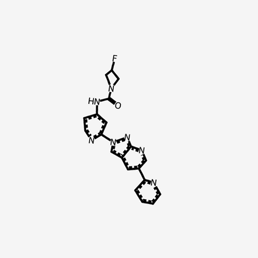 O=C(Nc1ccnc(-n2cc3cc(-c4ccccn4)cnc3n2)c1)N1CC(F)C1